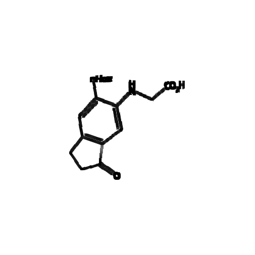 CCCCCCc1cc2c(cc1NCC(=O)O)C(=O)CC2